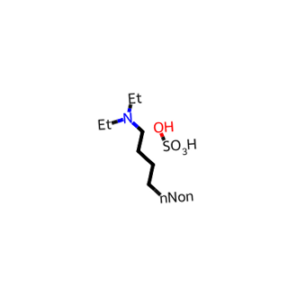 CCCCCCCCCCCCCN(CC)CC.O=S(=O)(O)O